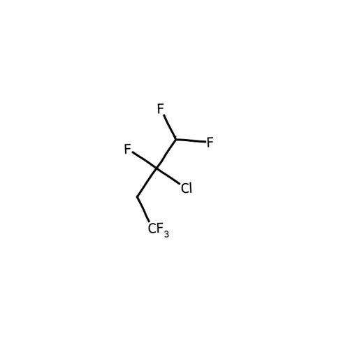 F[C](F)C(F)(Cl)CC(F)(F)F